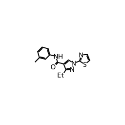 CCc1nn(-c2nccs2)cc1C(=O)Nc1cccc(C)c1